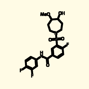 COC1CCN(S(=O)(=O)c2cc(C(=O)Nc3ccc(F)c(F)c3)ccc2F)CCC1O